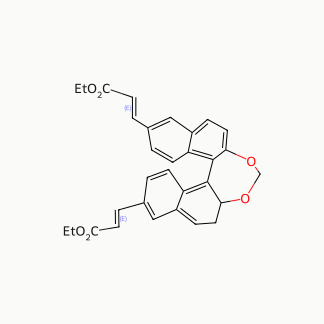 CCOC(=O)/C=C/c1ccc2c(c1)=CCC1OCOc3ccc4cc(/C=C/C(=O)OCC)ccc4c3C=21